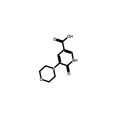 O=C(O)c1c[nH]c(=O)c(N2CCOCC2)c1